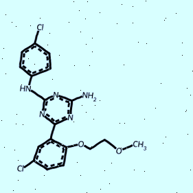 COCCOc1ccc(Cl)cc1-c1nc(N)nc(Nc2ccc(Cl)cc2)n1